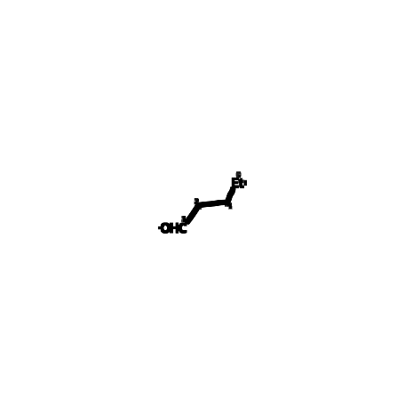 [CH][C][C][C][C]=O